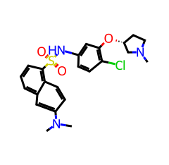 CN1CC[C@@H](Oc2cc(NS(=O)(=O)c3cccc4cc(N(C)C)ccc34)ccc2Cl)C1